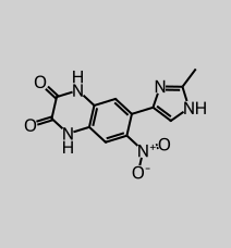 Cc1nc(-c2cc3[nH]c(=O)c(=O)[nH]c3cc2[N+](=O)[O-])c[nH]1